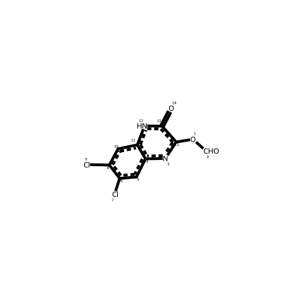 O=COc1nc2cc(Cl)c(Cl)cc2[nH]c1=O